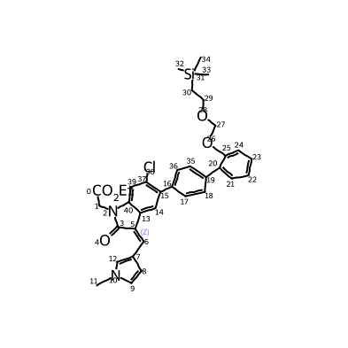 CCOC(=O)CN1C(=O)/C(=C\c2ccn(C)c2)c2cc(-c3ccc(-c4ccccc4OCOCC[Si](C)(C)C)cc3)c(Cl)cc21